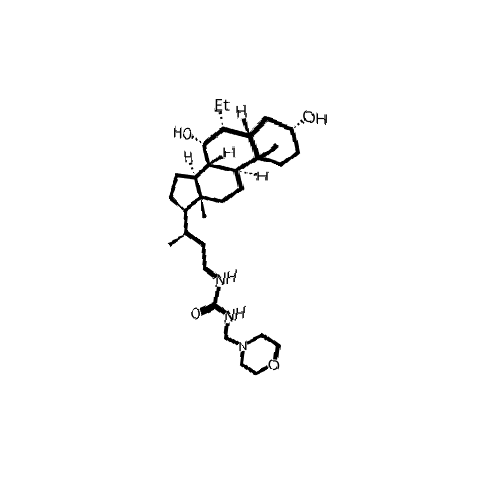 CC[C@H]1[C@@H](O)[C@@H]2[C@H](CC[C@]3(C)[C@@H]([C@H](C)CCNC(=O)NCN4CCOCC4)CC[C@@H]23)C2(C)CC[C@@H](O)C[C@@H]12